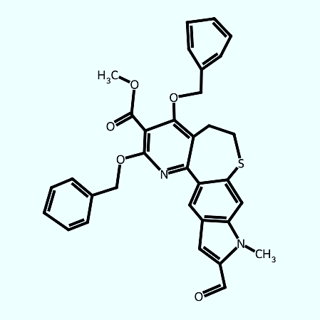 COC(=O)c1c(OCc2ccccc2)nc2c(c1OCc1ccccc1)CCSc1cc3c(cc1-2)cc(C=O)n3C